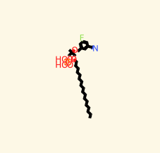 CCCCCCCCCCCCCCCCCCOCC(C)(COP(=O)(O)O)OCc1cc(F)cc(C#N)c1